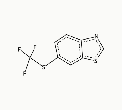 FC(F)(F)Sc1ccc2ncsc2c1